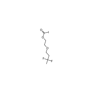 CC(F)(F)CCOCCOC(=O)I